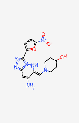 NC1=Cc2nnc(-c3ccc([N+](=O)[O-])o3)n2NC1=CN1CCC(O)CC1